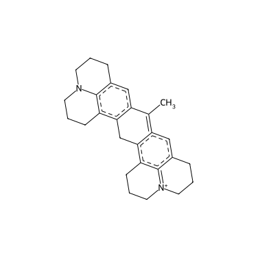 CC1=c2cc3c4c(c2Cc2c1cc1c5c2CCCN5CCC1)CCC[N+]=4CCC3